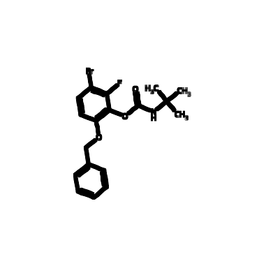 CC(C)(C)NC(=O)Oc1c(OCc2ccccc2)ccc(Br)c1F